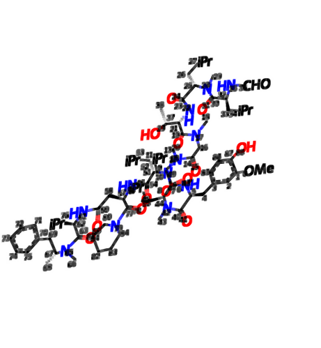 COc1cc(C[C@H](NC(=O)[C@H](CC(C)C)N(C)C(=O)CN(C)C(=O)[C@@H](NC(=O)[C@H](CC(C)C)N(C)C(=O)[C@H](CC(C)C)NC=O)[C@@H](C)O)C(=O)N(C)[C@@H](CC(C)C)C(=O)N(C)[C@@H](CC(C)C)C(=O)N[C@H](CC(=O)N[C@@H](C(=O)N(C)[C@H](C)Cc2ccccc2)C(C)C)C(=O)N2CCCCC2)ccc1O